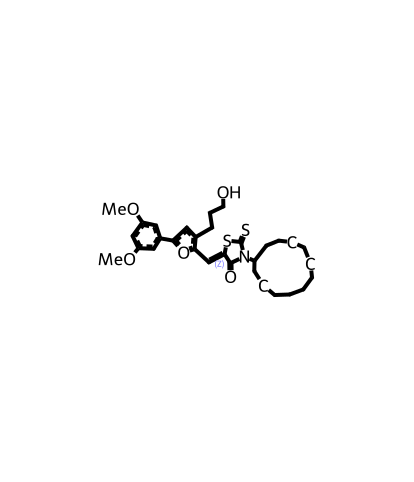 COc1cc(OC)cc(-c2cc(CCCO)c(/C=C3\SC(=S)N(C4CCCCCCCCCCC4)C3=O)o2)c1